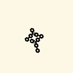 C1=CC(N(c2ccc(-c3ccccc3)cc2)c2ccc(-c3ccccc3-c3ccc(N(c4ccccc4)c4ccc(-c5ccccc5)cc4)cc3)cc2)=CCC1